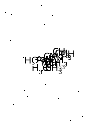 CC(C)[C@@H](CN1CC[C@@](C)(c2cccc(O)c2)[C@@H](C)C1)NC(=O)[C@H]1CC2C=CC(O)=CC2CN1C(=O)OC(C)(C)C